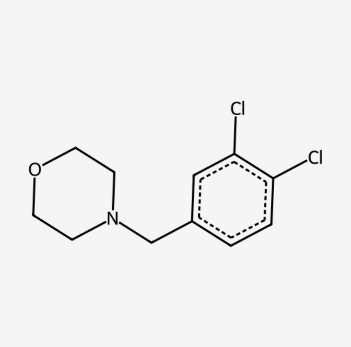 Clc1ccc(CN2CCOCC2)cc1Cl